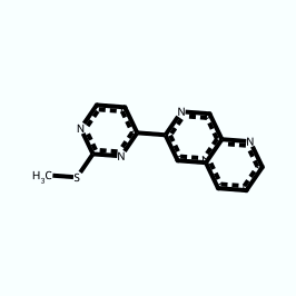 CSc1nccc(-c2cc3cccnc3cn2)n1